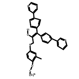 CCOC(CSc1ccc(OCC(=O)O)c(C)c1)=C(c1ccc(-c2cccnc2)cc1)c1ccc(-c2cccnc2)cc1